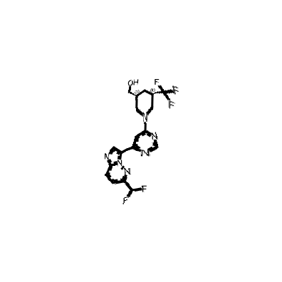 OC[C@H]1C[C@@H](C(F)(F)F)CN(c2cc(-c3cnc4ccc(C(F)F)nn34)ncn2)C1